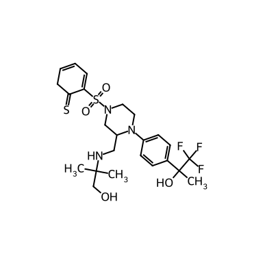 CC(C)(CO)NCC1CN(S(=O)(=O)C2=CC=CCC2=S)CCN1c1ccc(C(C)(O)C(F)(F)F)cc1